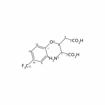 NC(C(=O)O)C(CC(=O)O)Oc1ccc(C(F)(F)F)cc1